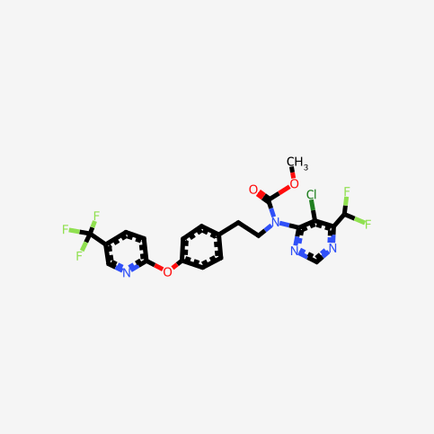 COC(=O)N(CCc1ccc(Oc2ccc(C(F)(F)F)cn2)cc1)c1ncnc(C(F)F)c1Cl